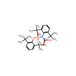 CC(C)(C)c1cccc(C(C)(C)C)c1OS(=O)(=O)N(C(=O)O)c1c(C(C)(C)C)cccc1C(C)(C)C